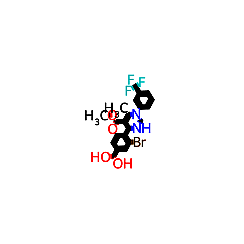 COC(=O)C1=C(C)N(c2cccc(C(F)(F)F)c2)CNC1c1ccc(C(O)O)cc1Br